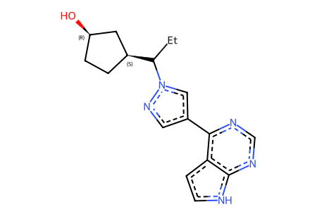 CCC([C@H]1CC[C@@H](O)C1)n1cc(-c2ncnc3[nH]ccc23)cn1